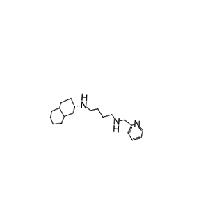 c1ccc(CNCCCCN[C@H]2CCC3CCCCC3C2)nc1